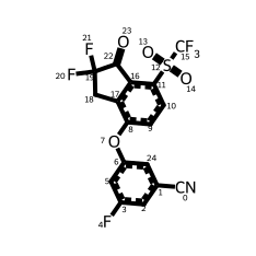 N#Cc1cc(F)cc(Oc2ccc(S(=O)(=O)C(F)(F)F)c3c2CC(F)(F)C3=O)c1